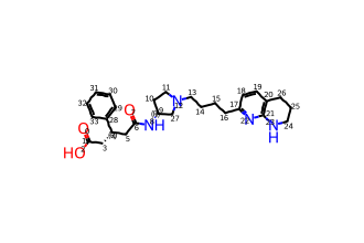 O=C(O)C[C@@H](CC(=O)N[C@@H]1CCN(CCCCc2ccc3c(n2)NCCC3)C1)c1ccccc1